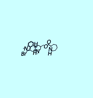 CN1CC(COC(=O)C2CCCCCN2)C[C@H]2c3cccc4c3c(c(Br)n4C)C[C@@H]21